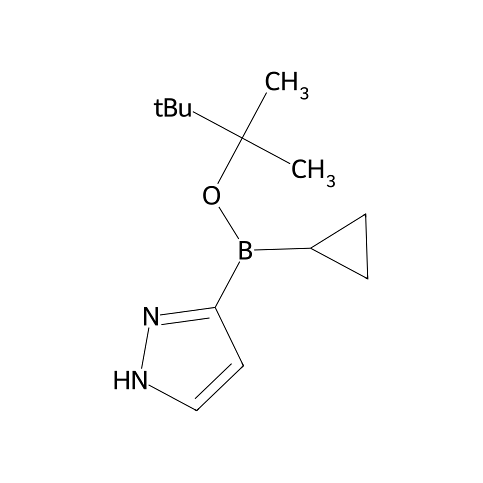 CC(C)(C)C(C)(C)OB(c1cc[nH]n1)C1CC1